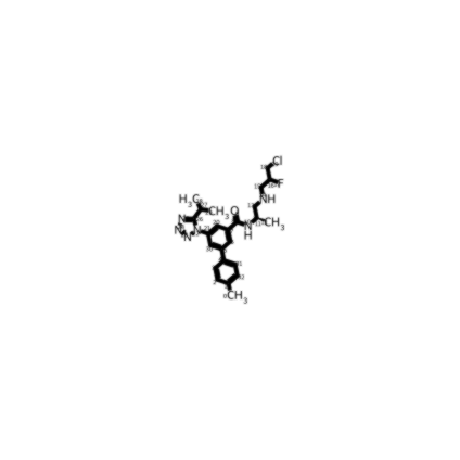 Cc1ccc(-c2cc(C(=O)N[C@H](C)CNCC(F)CCl)cc(-n3nnnc3C(C)C)c2)cc1